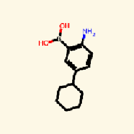 Nc1ccc(C2CCCCC2)cc1B(O)O